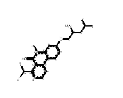 CC(C)CC(N)COc1ccc2c3ccnc(C(F)F)c3c(=O)n(C)c2c1